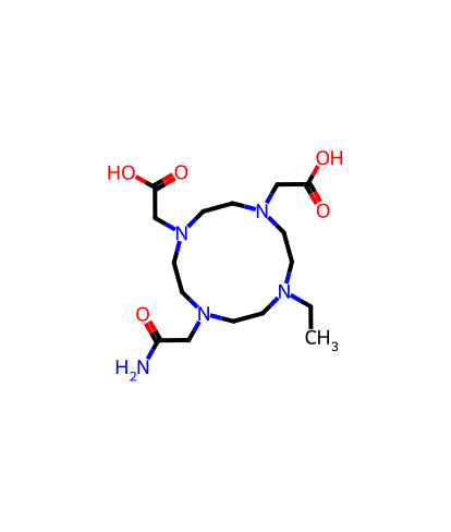 CCN1CCN(CC(N)=O)CCN(CC(=O)O)CCN(CC(=O)O)CC1